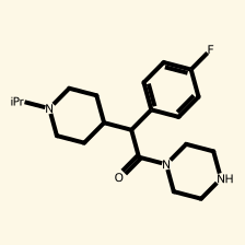 CC(C)N1CCC(C(C(=O)N2CCNCC2)c2ccc(F)cc2)CC1